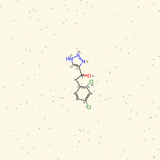 O=C(Cc1ccc(Cl)cc1Cl)c1c[nH]nn1